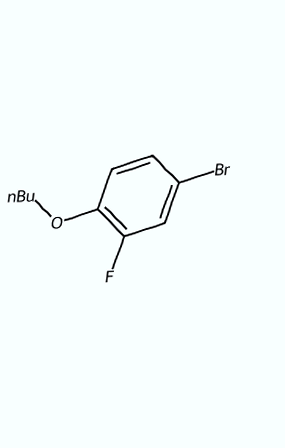 CCCCOc1ccc(Br)cc1F